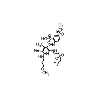 C=CS(=O)(=O)CCNc1nc(NCCCOC)c(C#N)c(C)c1/N=N/c1ccc(S(=O)(=O)C=C)cc1S(=O)(=O)O